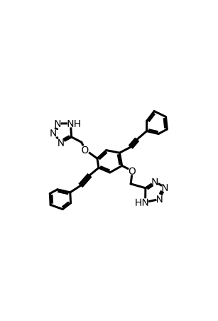 C(#Cc1cc(OCc2nnn[nH]2)c(C#Cc2ccccc2)cc1OCc1nnn[nH]1)c1ccccc1